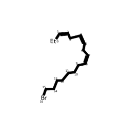 CC/C=C\C/C=C\C/C=C\CCCCCCCBr